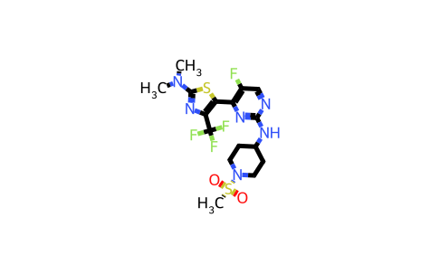 CN(C)c1nc(C(F)(F)F)c(-c2nc(NC3CCN(S(C)(=O)=O)CC3)ncc2F)s1